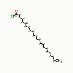 CCCCCCCCC=CCCCCCCCCCCCCCC(=O)Cl